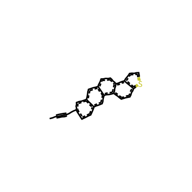 CC#Cc1ccc2cc3c(ccc4c5ccsc5ccc34)cc2c1